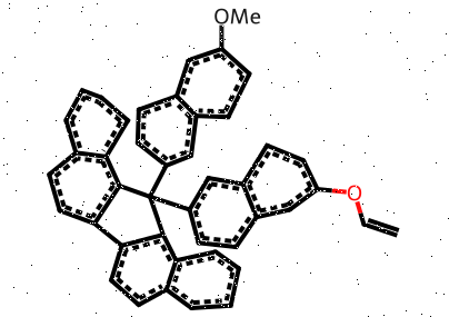 C=COc1ccc2cc(C3(c4ccc5cc(OC)ccc5c4)c4c(ccc5ccccc45)-c4ccc5ccccc5c43)ccc2c1